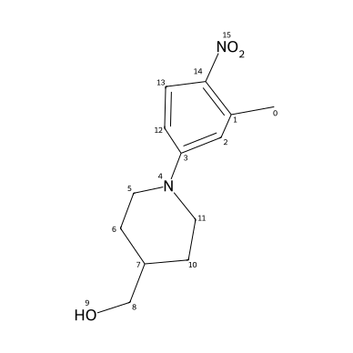 Cc1cc(N2CCC(CO)CC2)ccc1[N+](=O)[O-]